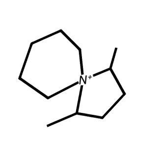 CC1CCC(C)[N+]12CCCCC2